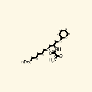 CCCCCCCCCCCCCCCOCC(COC1CCCCO1)NC(=O)C(N)=O